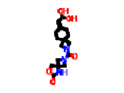 O=C1NC2(CO1)CN(C(=O)N1CC3(CCC(=CB(O)O)CC3)C1)C2